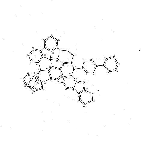 C1=CC(N(c2ccc(-c3ccccc3)cc2)c2cccc3c2oc2ccccc23)=CC(C2(c3ccccc3)c3ccccc3C3(c4ccccc4)c4ccccc4-c4cccc2c43)C1